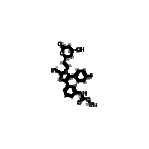 CC(C)c1nc(-c2cccc(NC(=O)OC(C)(C)C)c2)c(-c2ccc(F)cc2)n1/C=C/[C@@H]1C[C@@H](O)CC(=O)O1